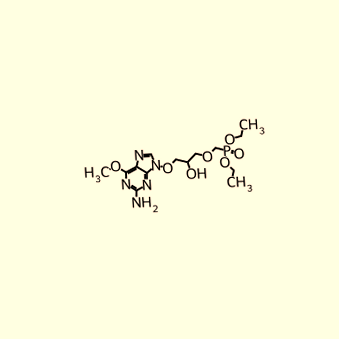 CCOP(=O)(COCC(O)COn1cnc2c(OC)nc(N)nc21)OCC